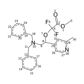 COC(=O)C(F)(F)OC(CN(Cc1ccccc1)Cc1ccccc1)c1ccnc(C)c1